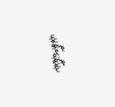 CCn1cnc(CCNc2nc(N[C@@H]3CCN(C(=O)N4CC[C@@H](Nc5nc(NCCc6cn(CC)cn6)nc6c5ncn6[C@@H]5C[C@H](NC(=O)CO)[C@@H](O)[C@H]5O)C4)C3)c3ncn([C@@H]4C[C@H](NC(=O)CO)[C@@H](O)[C@H]4O)c3n2)c1